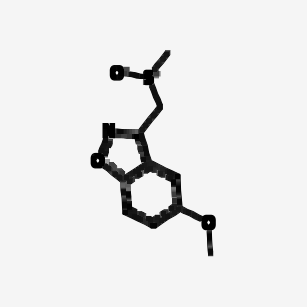 COc1ccc2onc(C[S+](C)[O-])c2c1